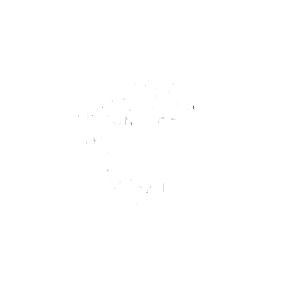 O=C(OCc1cccc(C(F)(F)F)c1)c1nc(-c2ccc(C(F)(F)F)cc2Cl)ccc1Cl